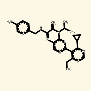 C=C1C(NCc2ccc(N)cn2)=Nc2cnc(-c3c(CC)ncnc3C3CC3)nc2N1C(C)C